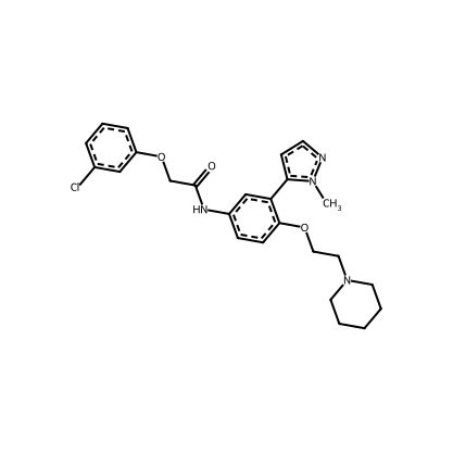 Cn1nccc1-c1cc(NC(=O)COc2cccc(Cl)c2)ccc1OCCN1CCCCC1